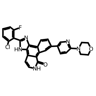 O=c1[nH]ccc2c3[nH]c(-c4c(F)cccc4Cl)nc3c3ccc(-c4ccc(N5CCOCC5)nc4)cc3c12